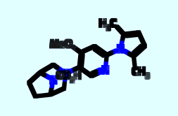 COc1cc(-n2c(C)ccc2C)ncc1N1CC2CCC(C1)N2C(=O)O